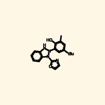 Cc1cc(C(C)(C)C)cc(N2Nc3ccccc3N2c2ncco2)c1O